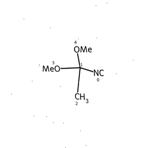 [C-]#[N+]C(C)(OC)OC